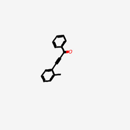 Cc1ccccc1C#CC(=O)c1ccccc1